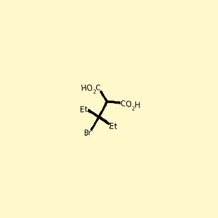 CCC(Br)(CC)C(C(=O)O)C(=O)O